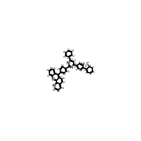 CC1CC=CC=C1c1ccc(-c2cc(-c3ccccc3)nc(-c3ccc(-c4c5ccccc5nc5c4ccc4cccnc45)cc3)n2)cc1